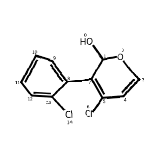 OC1OC=CC(Cl)=C1c1ccccc1Cl